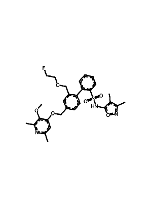 COc1c(OCc2ccc(-c3ccccc3S(=O)(=O)Nc3onc(C)c3C)c(COCCF)c2)cc(C)nc1C